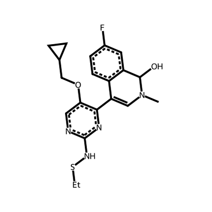 CCSNc1ncc(OCC2CC2)c(C2=CN(C)C(O)c3cc(F)ccc32)n1